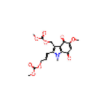 COC(=O)OC/C=C/c1c(COC(=O)OC)c2c(n1C)C(=O)C=C(OC)C2=O